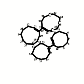 C1=C(C2=CCCCCCCC2)CCCCCCC1.C1=C(C2=CCCCCCCCC2)CCCCCCCC1